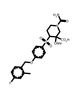 COC1(C(=O)O)CN(C(N)=O)CCC1S(=O)(=O)c1ccc(OCc2ccc(F)cc2C)cc1